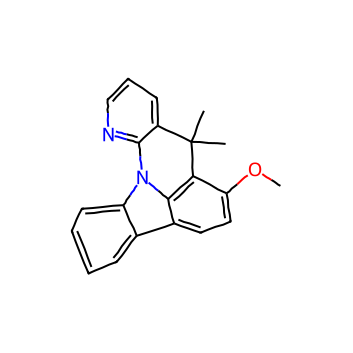 COc1ccc2c3ccccc3n3c2c1C(C)(C)c1cccnc1-3